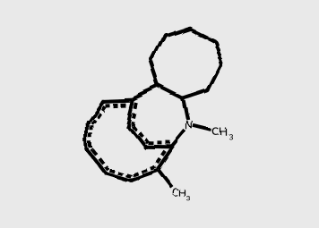 Cc1cccccc2ccc1N(C)C1CCCCCCC21